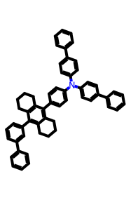 c1ccc(-c2ccc(N(c3ccc(-c4ccccc4)cc3)c3ccc(-c4c5c(c(-c6cccc(-c7ccccc7)c6)c6c4CCCC6)CCCC5)cc3)cc2)cc1